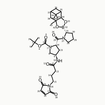 CC(C)(C)OC(=O)N1C[C@H](NC(=O)CCCN2C(=O)C=CC2=O)C[C@H]1C(=O)N1CCC[C@H]1B1OC2C3CC(CC2(C)O1)C3(C)C